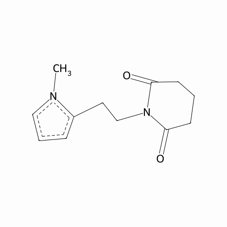 Cn1cccc1CCN1C(=O)CCCC1=O